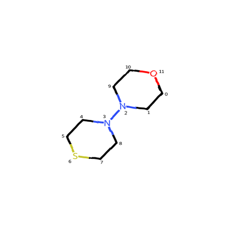 C1CN(N2CCSCC2)CCO1